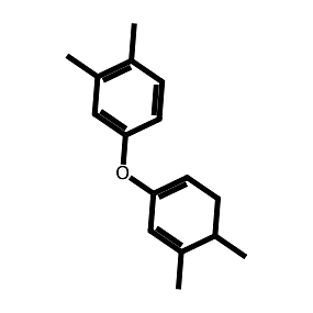 CC1=CC(Oc2ccc(C)c(C)c2)=CCC1C